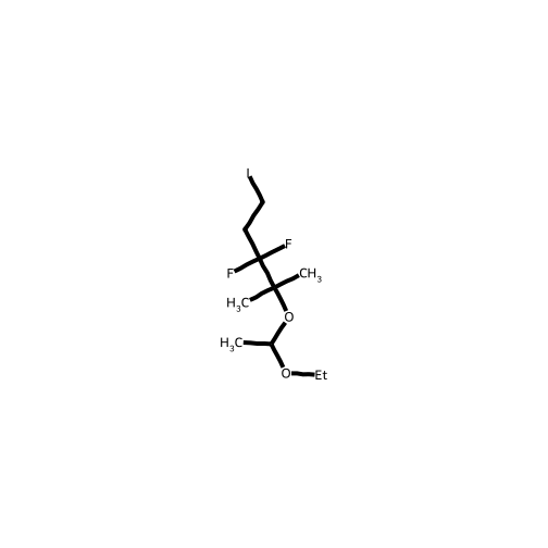 CCOC(C)OC(C)(C)C(F)(F)CCI